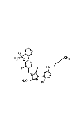 CCCCCNc1ccc(Br)c(-n2nc(CC)n(Cc3ccc(-c4ccccc4S(N)(=O)=O)cc3F)c2=O)c1